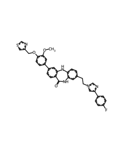 COc1cc(-c2ccc3c(c2)Nc2ccc(CCn4cnc(-c5ccc(F)cc5)c4)cc2NC3=O)ccc1OCc1cscn1